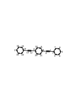 C(#Cc1ccccc1)c1[c]cc(C#Cc2ccccc2)cc1